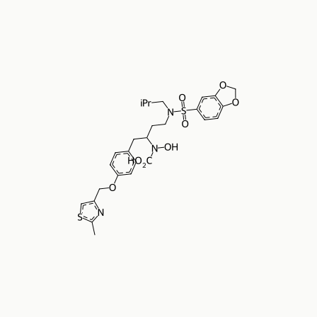 Cc1nc(COc2ccc(CC(CCN(CC(C)C)S(=O)(=O)c3ccc4c(c3)OCO4)N(O)C(=O)O)cc2)cs1